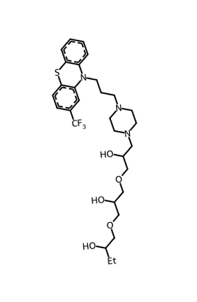 CCC(O)COCC(O)COCC(O)CN1CCN(CCCN2c3ccccc3Sc3ccc(C(F)(F)F)cc32)CC1